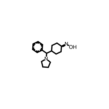 ON=C1CCC(C(c2ccccc2)N2CCCC2)CC1